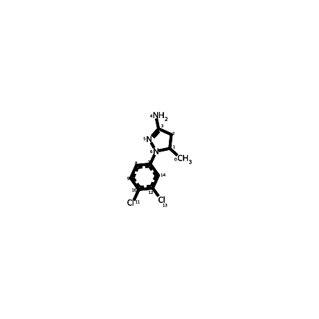 CC1CC(N)=NN1c1ccc(Cl)c(Cl)c1